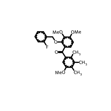 COc1cc(C(=O)c2ccc(OC)c(OC)c2OCc2ccccc2F)c(C)c(C)c1C